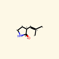 CC(C)=CC1CCNC1=O